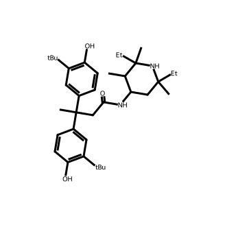 CCC1(C)CC(NC(=O)CC(C)(c2ccc(O)c(C(C)(C)C)c2)c2ccc(O)c(C(C)(C)C)c2)C(C)C(C)(CC)N1